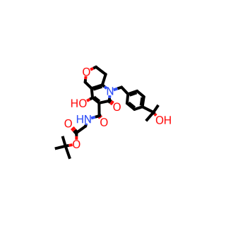 CC(C)(C)OC(=O)CNC(=O)c1c(O)c2c(n(Cc3ccc(C(C)(C)O)cc3)c1=O)CCOC2